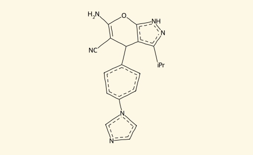 CC(C)c1n[nH]c2c1C(c1ccc(-n3ccnc3)cc1)C(C#N)=C(N)O2